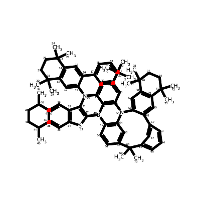 CC(C)(C)c1cc2c3c(c1)N(c1cc4c(cc1-c1ccccc1)C(C)(C)CCC4(C)C)c1c(sc4cc5c(cc14)C1(C)CCC5(C)CC1)B3c1ccc3cc1N2c1cc2c(cc1-c1cccc(c1)C3(C)C)C(C)(C)CCC2(C)C